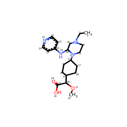 CCN1CCN(C2CCC(C(OC)C(=O)O)CC2)C(Nc2ccncc2)C1